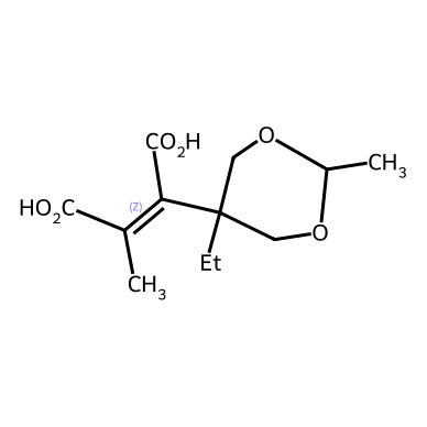 CCC1(/C(C(=O)O)=C(\C)C(=O)O)COC(C)OC1